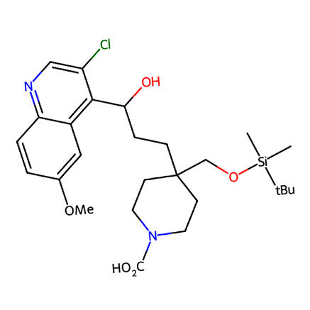 COc1ccc2ncc(Cl)c(C(O)CCC3(CO[Si](C)(C)C(C)(C)C)CCN(C(=O)O)CC3)c2c1